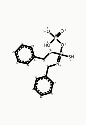 O=P(O)(O)OP(S)(=NCc1ccccc1)SCc1ccccc1